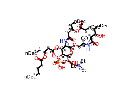 CCCCCCCCCCCCCC(=O)O[C@H](CCCCCCCCCCC)CC(=O)O[C@@H]1[C@@H](NC(=O)C[C@@H](CCCCCCCCCCC)OC(=O)CCCCCCCCCCC)[C@@H](OC[C@H](NC(=O)C[C@H](O)CCCCCCCCCCC)C(=O)O)O[C@H](CO)[C@H]1OP(=O)(O)O.CCN(CC)CC